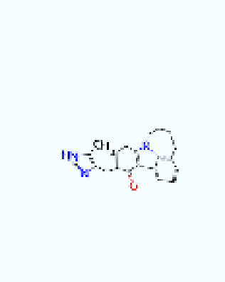 Cc1[nH]cnc1CC1CCc2c(c3cccc4c3n2CCCC4)C1=O